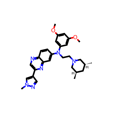 COc1cc(OC)cc(N(CCN2C[C@H](C)C[C@@H](C)C2)c2ccc3ncc(-c4cnn(C)c4)nc3c2)c1